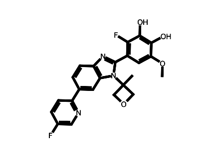 COc1cc(-c2nc3ccc(-c4ccc(F)cn4)cc3n2C2(C)COC2)c(F)c(O)c1O